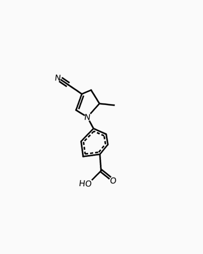 CC1CC(C#N)=CN1c1ccc(C(=O)O)cc1